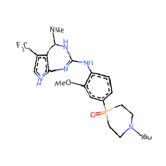 CCC(C)N1CCP(=O)(c2ccc(NC3=Nc4[nH]cc(C(F)(F)F)c4C(NC)N3)c(OC)c2)CC1